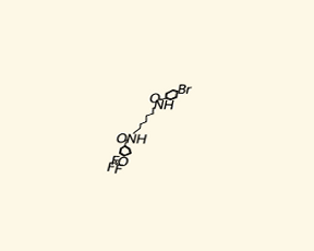 O=C(NCCCCCCCNC(=O)c1ccc(OC(F)(F)F)cc1)c1ccc(Br)cc1